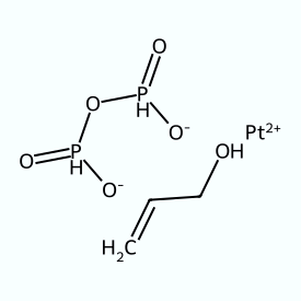 C=CCO.O=[PH]([O-])O[PH](=O)[O-].[Pt+2]